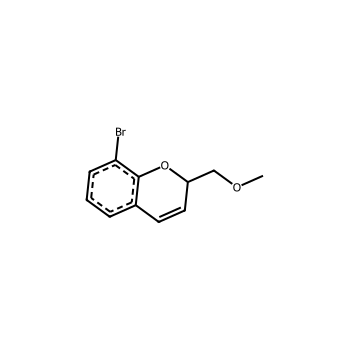 COCC1C=Cc2cccc(Br)c2O1